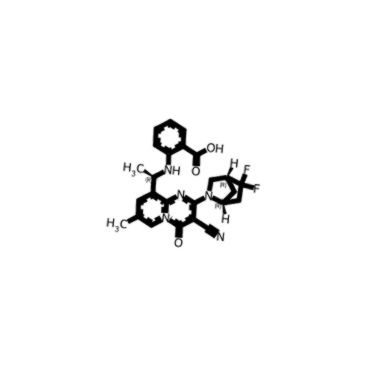 Cc1cc([C@@H](C)Nc2ccccc2C(=O)O)c2nc(N3C[C@H]4C[C@@H]3CC4(F)F)c(C#N)c(=O)n2c1